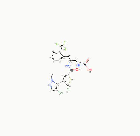 Cn1ncc(Cl)c1-c1cc(C(=O)N[C@H](CNC(=O)O)Cc2ccccc2C(F)(F)F)sc1Cl